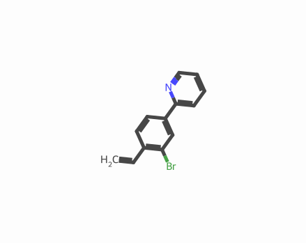 C=Cc1ccc(-c2ccccn2)cc1Br